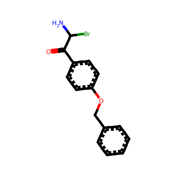 NC(Br)C(=O)c1ccc(OCc2ccccc2)cc1